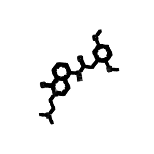 COc1ccc(OC)c(CC(=O)Nc2cccc3c(=O)n(CCN(C)C)ccc23)c1